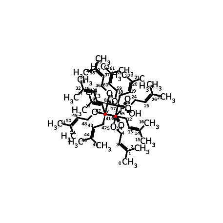 CC(C)=CCOC(CC=C(C)C)(CC=C(C)C)[C@@](CC=C(C)C)(OCC=C(C)C)[C@@](CC=C(C)C)(OCC=C(C)C)[C@@](CC=C(C)C)(OCC=C(C)C)C(=O)P(=O)(O)OCC=C(C)C